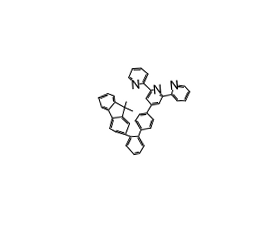 CC1(C)c2ccccc2-c2ccc(-c3ccccc3-c3ccc(-c4cc(-c5ccccn5)nc(-c5ccccn5)c4)cc3)cc21